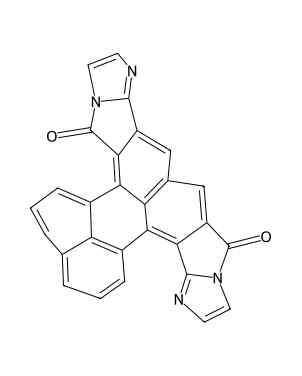 O=c1c2c(cc3cc4c(=O)n5ccnc5c4c4c5cccc6cccc(c65)c2c34)c2nccn12